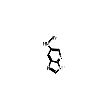 CC(C)Nc1cnc2[nH]cnc2c1